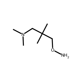 CN(C)CC(C)(C)CON